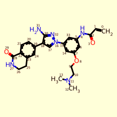 C=CC(=O)Nc1cc(OCCN(C)C)cc(-n2cc(-c3ccc4c(c3)CCNC4=O)c(N)n2)c1